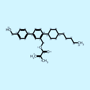 C=C(C)C(=O)OCc1cc(-c2ccc(CO)cc2)ccc1C1CCC(CCCCC)CC1